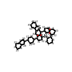 c1ccc(-c2ccccc2N(c2ccc(-c3ccc(-c4ccc5ccccc5c4)cc3)cc2)c2ccccc2-c2cccc3c2sc2ccccc23)cc1